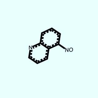 O=Nc1cccc2ncccc12